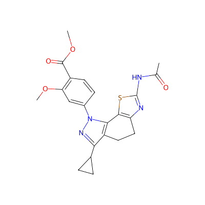 COC(=O)c1ccc(-n2nc(C3CC3)c3c2-c2sc(NC(C)=O)nc2CC3)cc1OC